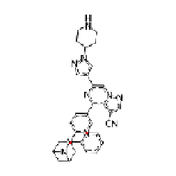 N#Cc1cnn2cc(-c3cnn(C4CCNCC4)c3)nc(-c3ccc(N4CC5CC(C4)N5Cc4ccccc4)nc3)c12